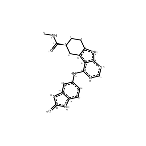 CNC(=O)[C@H]1CCc2[nH]c3ncnc(Nc4ccc5[nH]c(=O)sc5c4)c3c2C1